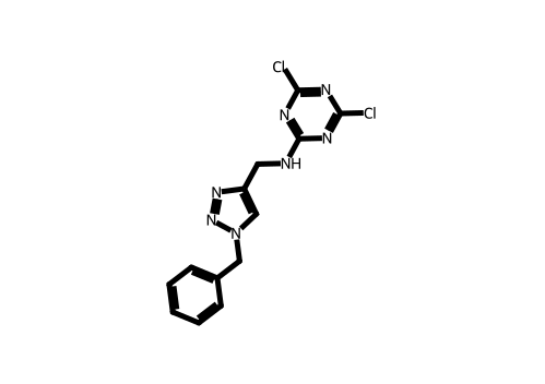 Clc1nc(Cl)nc(NCc2cn(Cc3ccccc3)nn2)n1